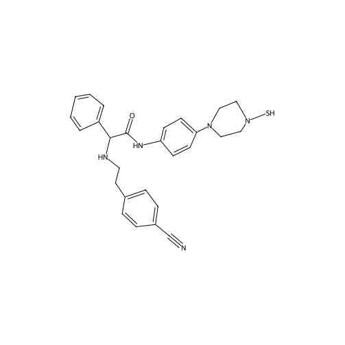 N#Cc1ccc(CCNC(C(=O)Nc2ccc(N3CCN(S)CC3)cc2)c2ccccc2)cc1